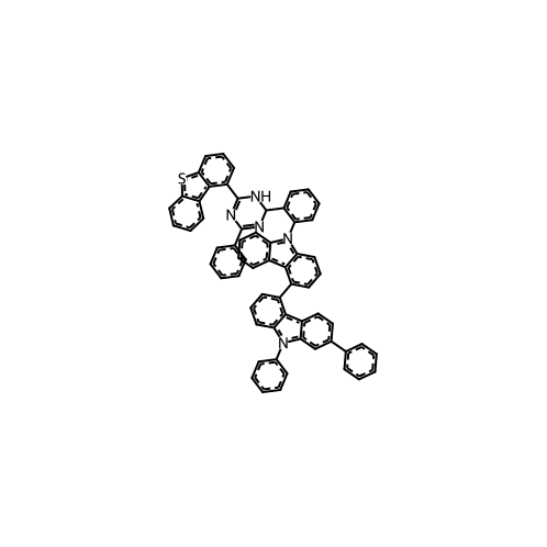 c1ccc(C2=NC(c3ccccc3-n3c4ccccc4c4c(-c5cccc6c5c5ccc(-c7ccccc7)cc5n6-c5ccccc5)cccc43)NC(c3cccc4sc5ccccc5c34)=N2)cc1